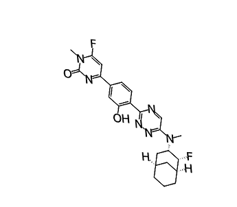 CN(c1cnc(-c2ccc(-c3cc(F)n(C)c(=O)n3)cc2O)nn1)[C@H]1C[C@@H]2CCC[C@@H](C2)[C@H]1F